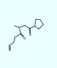 C=CCOC(=O)N(C)CC(=O)N1[CH]CCC1